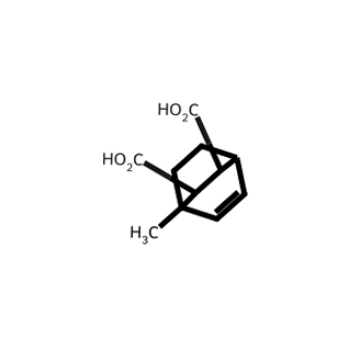 CC12C=CC(CC1)C(C(=O)O)C2C(=O)O